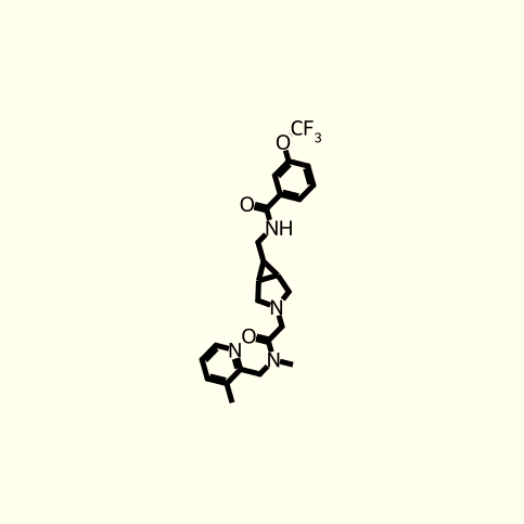 Cc1cccnc1CN(C)C(=O)CN1CC2C(CNC(=O)c3cccc(OC(F)(F)F)c3)C2C1